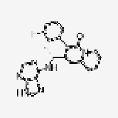 C[C@@H](Nc1ncnc2[nH]cnc12)c1cc2ccccn2c(=O)c1-c1cccc(F)c1